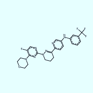 Fc1cnc(N2CCCC(c3ccc(Nc4cccc(C(F)(F)F)c4)cn3)=N2)nc1N1CCOCC1